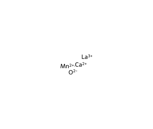 [Ca+2].[La+3].[Mn+2].[O-2]